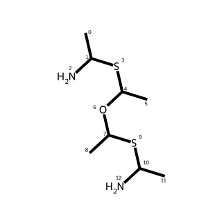 CC(N)SC(C)OC(C)SC(C)N